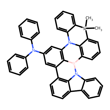 C[Si]1(C)c2ccccc2N2c3cc(N(c4ccccc4)c4ccccc4)cc4c3B(c3cccc1c32)n1c2ccccc2c2cccc-4c21